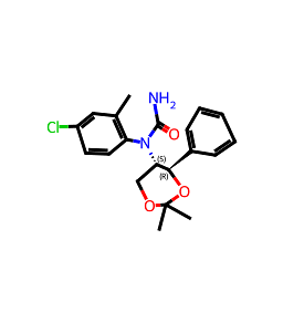 Cc1cc(Cl)ccc1N(C(N)=O)[C@H]1COC(C)(C)O[C@@H]1c1ccccc1